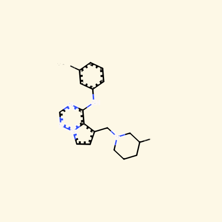 COc1cccc(Nc2ncnn3ccc(CN4CCCC(C(=O)O)C4)c23)c1